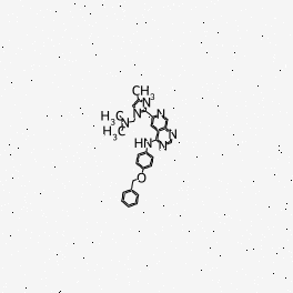 Cc1cn(CN(C)C)c(-c2cc3c(Nc4ccc(OCc5ccccc5)cc4)ncnc3cn2)n1